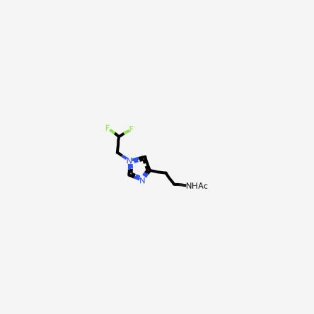 CC(=O)NCCc1cn(CC(F)F)cn1